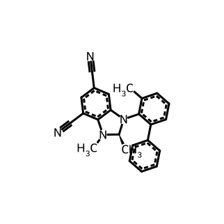 Cc1cccc(-c2ccccc2)c1N1c2cc(C#N)cc(C#N)c2N(C)[C@@H]1C